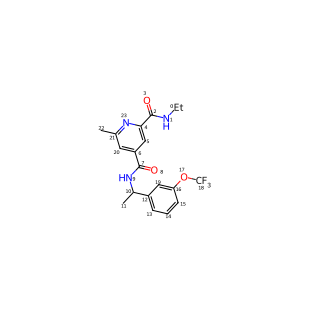 CCNC(=O)c1cc(C(=O)NC(C)c2cccc(OC(F)(F)F)c2)cc(C)n1